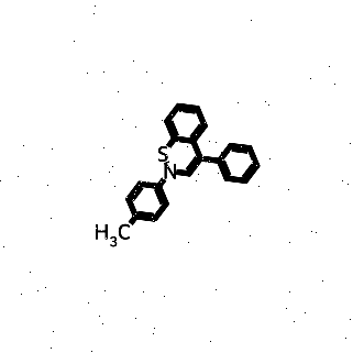 Cc1ccc(N2C=C(c3ccccc3)c3ccccc3S2)cc1